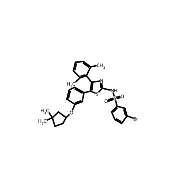 Cc1cccc(C)c1-c1nc(NS(=O)(=O)c2cccc(Br)c2)sc1-c1cccc(OC2CCC(C)(C)C2)c1